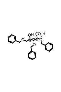 O=C(O)[C@@H](OCc1ccccc1)[C@H](OCc1ccccc1)[C@H](O)COCc1ccccc1